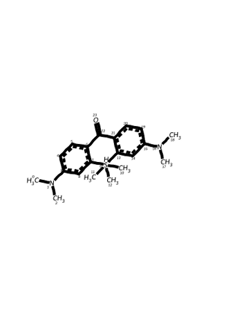 CN(C)c1ccc2c(c1)[SH](C)(C)(C)c1cc(N(C)C)ccc1C2=O